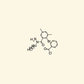 Cc1cc(C)c(Br)c(C(=O)N(N)C(C)(C)C)c1.Cl.Cl.O=C(Cl)c1ccccc1